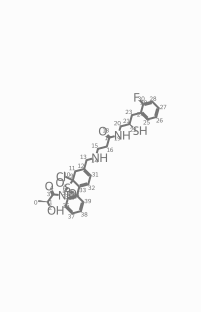 C[C@H](O)C(=O)NS(=O)(=O)C1(Cl)CC(CNCCC(=O)NC[C@H](S)Cc2ccccc2F)=CC=C1c1ccccc1